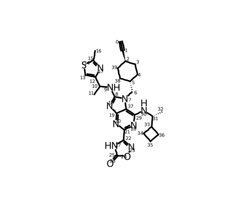 C#C[C@H]1CC[C@H](Cn2c(NC(C)c3csc(C)n3)nc3nc(-c4noc(=O)[nH]4)nc(N[C@H](C)C4CCC4)c32)CC1